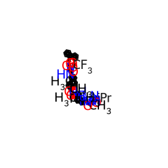 CC(C)[C@H](N)C(=O)N[C@@H](C)C(=O)Nc1ccc2c(c1)[C@@]1(C)CCC[C@](C)(C(=O)NC(=O)[C@@]3(C)CCC[C@]4(C)c5cc(NC(=O)CN(OC(=O)C(F)(F)F)C(=O)OCC6c7ccccc7-c7ccccc76)ccc5CC[C@@H]34)[C@@H]1CC2